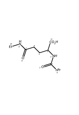 CCCC(=O)NC(CCC(=O)NCC)C(=O)O